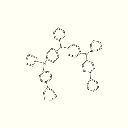 c1ccc(-c2ccc(N(c3ccccc3)c3ccc(N(c4ccccc4)c4ccc(N(c5ccccc5)c5ccc(-c6ccccc6)cc5)cc4)cc3)cc2)cc1